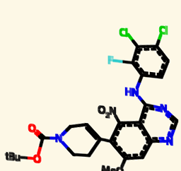 COc1cc2ncnc(Nc3ccc(Cl)c(Cl)c3F)c2c([N+](=O)[O-])c1C1=CCN(C(=O)OC(C)(C)C)CC1